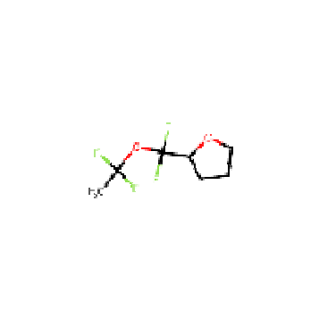 FC(F)(OC(F)(F)C(F)(F)F)C1CCCO1